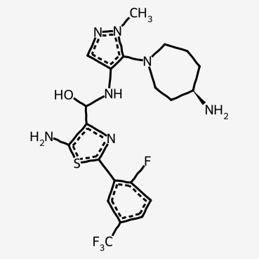 Cn1ncc(NC(O)c2nc(-c3cc(C(F)(F)F)ccc3F)sc2N)c1N1CCC[C@@H](N)CC1